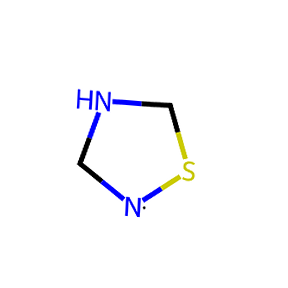 C1[N]SCN1